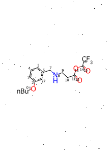 CCCCOc1cccc(CNCCC(=O)OC(=O)C(F)(F)F)c1